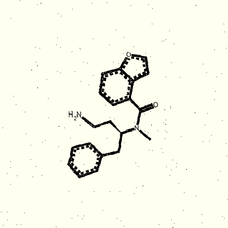 CN(C(=O)c1cccc2occc12)[C@H](CCN)Cc1ccccc1